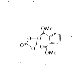 COC(=O)c1ccccc1C(=O)OC.O=C1OCCO1